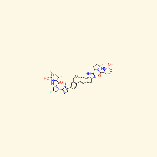 COC(=O)N[C@H](C(=O)N1[C@@H](C)CC[C@H]1c1nc2ccc3cc4c(cc3c2[nH]1)OCc1cc(-c2cnc([C@@H]3C[C@H](F)CN3C(=O)[C@@H](NC(O)OC)C(C)C)[nH]2)ccc1-4)C(C)C